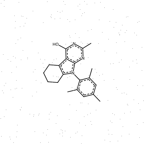 Cc1cc(C)c(-n2c3c(c4c(O)nc(C)nc42)CCCC3)c(C)c1